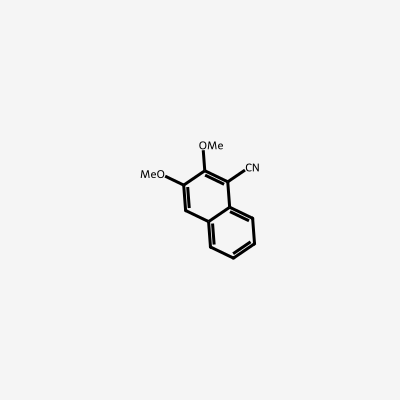 COc1cc2ccccc2c(C#N)c1OC